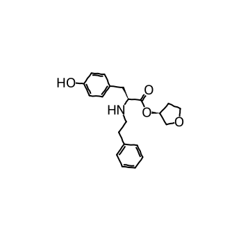 O=C(O[C@H]1CCOC1)[C@H](Cc1ccc(O)cc1)NCCc1ccccc1